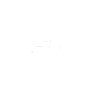 C[SiH](CCC(F)(F)F)C1([SiH]2OO2)CCCCO1